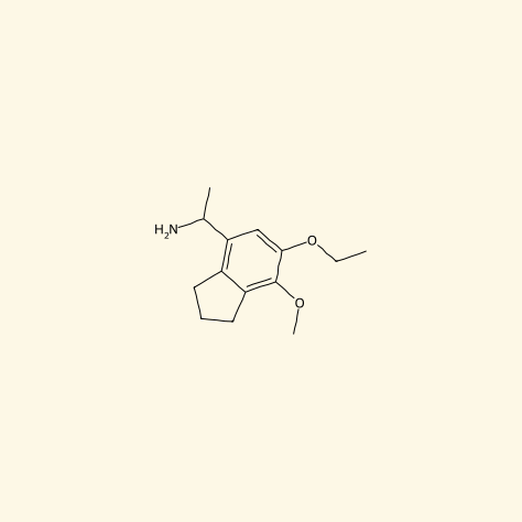 CCOc1cc(C(C)N)c2c(c1OC)CCC2